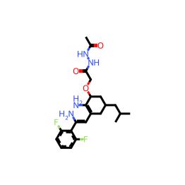 CC(=O)NNC(=O)COC1CC(CC(C)C)CC(/C=C(\N)c2c(F)cccc2F)=C1N